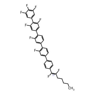 CCCCC/C(F)=C(\F)c1ccc(-c2ccc(-c3ccc(-c4cc(F)c(-c5cc(F)c(F)c(F)c5)c(F)c4)c(F)c3)c(F)c2)cc1